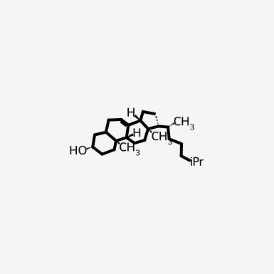 CC(C)CCC[C@@H](C)[C@H]1CC[C@H]2C3=CCC4C[C@@H](O)CC[C@]4(C)[C@H]3CC[C@]12C